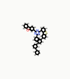 c1ccc(-c2cccc(-c3ccc(-c4ccc5sc6cccc(-c7nc(-c8ccccc8)nc(-c8ccc9c(c8)oc8ccccc89)n7)c6c5c4)cc3)c2)cc1